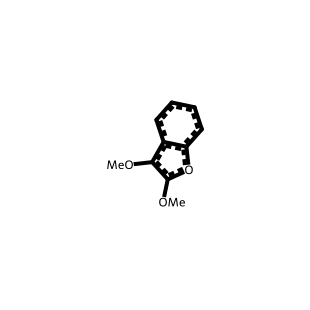 COc1oc2ccccc2c1OC